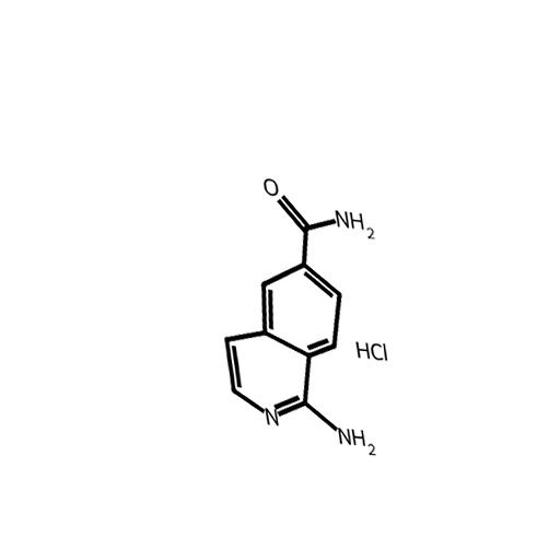 Cl.NC(=O)c1ccc2c(N)nccc2c1